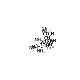 CC(=O)O.CC(=O)O.CC(=O)O.CC(=O)O.NCCN.[NaH].[NaH].[NaH].[Na]